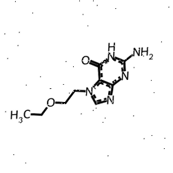 CCOCCn1cnc2nc(N)[nH]c(=O)c21